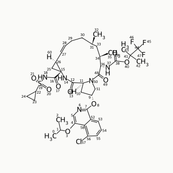 CC(C)Oc1cnc(O[C@@H]2C[C@H]3C(=O)N[C@]4(C(=O)NS(=O)(=O)C5CC5)C[C@H]4/C=C\CC[C@@H](C)C[C@@H](C)[C@H](NC(=O)OC(C)(C)C(F)(F)F)C(=O)N3C2)c2cccc(Cl)c12